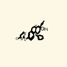 CC#C[C@@]1(O)CC[C@@]2(Cc3ccccc3)c3ccc(Oc4nccc(Cl)n4)cc3CC[C@@H]2C1